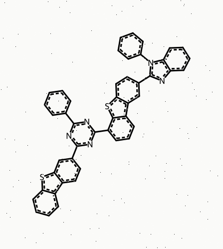 c1ccc(-c2nc(-c3ccc4c(c3)sc3ccccc34)nc(-c3cccc4c3sc3ccc(-c5nc6ccccc6n5-c5ccccc5)cc34)n2)cc1